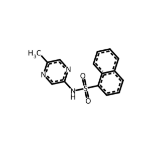 Cc1cnc(NS(=O)(=O)c2cccc3ccccc23)cn1